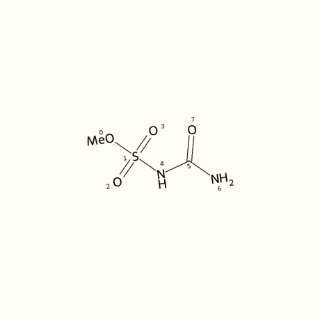 COS(=O)(=O)NC(N)=O